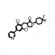 O=C1C(Cc2c(Cl)cc(-c3cccnc3)cc2Cl)CCN1C1CCC(F)(F)CC1